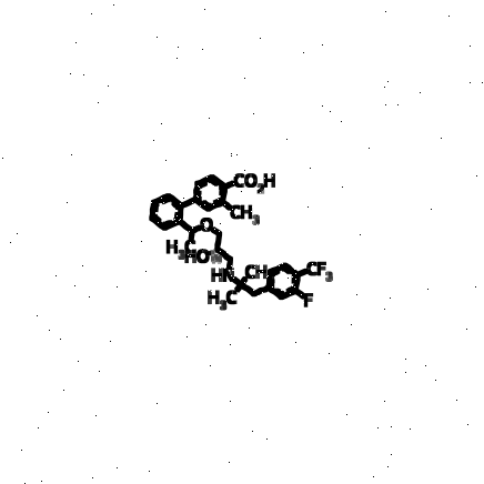 Cc1cc(-c2ccccc2C(C)OC[C@@H](O)CNC(C)(C)Cc2ccc(C(F)(F)F)c(F)c2)ccc1C(=O)O